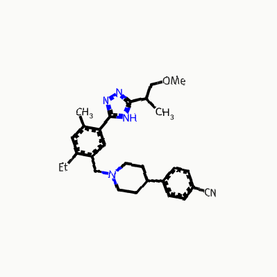 CCc1cc(C)c(-c2nnc(C(C)COC)[nH]2)cc1CN1CCC(c2ccc(C#N)cc2)CC1